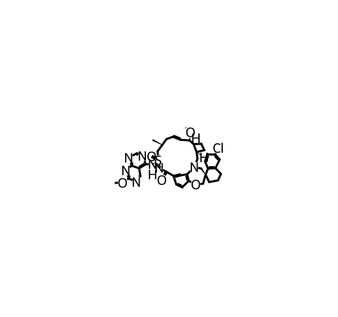 COc1ncc2c(N[S@@]3(=O)=NC(=O)c4ccc5c(c4)N(C[C@@H]4CC[C@H]4[C@@H](OC)/C=C/C[C@H](C)C3)C[C@@]3(CCCc4cc(Cl)ccc43)CO5)ncnc2n1